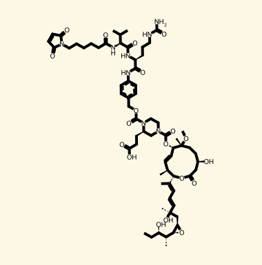 CC[C@H](O)[C@@H](C)[C@H]1O[C@@H]1C[C@@](C)(O)/C=C/C=C(\C)[C@H]1OC(=O)C[C@H](O)CC[C@@](C)(OC)[C@@H](OC(=O)N2CCN(C(=O)OCc3ccc(NC(=O)[C@H](CCCNC(N)=O)NC(=O)[C@@H](NC(=O)CCCCCN4C(=O)C=CC4=O)C(C)C)cc3)[C@H](CCC(=O)O)C2)/C=C/[C@@H]1C